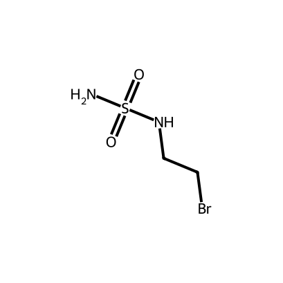 NS(=O)(=O)NCCBr